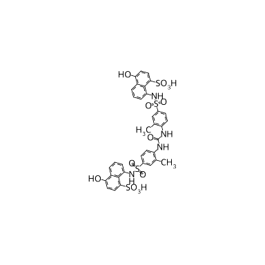 Cc1cc(S(=O)(=O)Nc2cccc3c(O)ccc(S(=O)(=O)O)c23)ccc1NC(=O)Nc1ccc(S(=O)(=O)Nc2cccc3c(O)ccc(S(=O)(=O)O)c23)cc1C